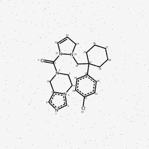 O=C(N1CCn2cncc2C1)N1C=CCN1CC1(c2ccc(Cl)cc2)CCCCC1